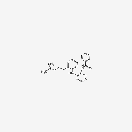 CN(C)CCCc1ccccc1Nc1ccncc1NC(=O)c1ccccc1